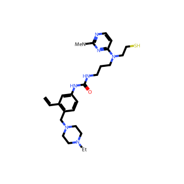 C=Cc1cc(NC(=O)NCCCN(CCS)c2ccnc(NC)n2)ccc1CN1CCN(CC)CC1